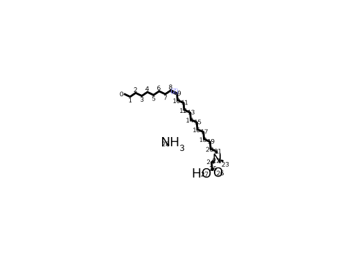 CCCCCCCC/C=C\CCCCCCCCCCCCN(C)CC(=O)O.N